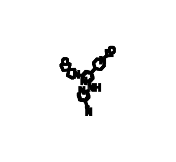 N#Cc1ccnc(Nc2cc(C3CCN(C4COC4)CC3)cc(N3CCC4(CCOC4)C3)n2)c1